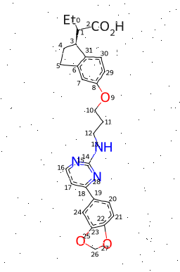 CCC(C(=O)O)[C@@H]1CCc2cc(OCCCNc3nccc(-c4ccc5c(c4)OCO5)n3)ccc21